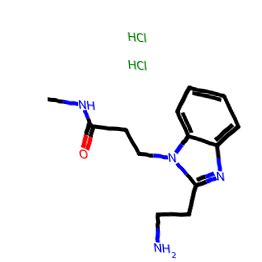 CNC(=O)CCn1c(CCN)nc2ccccc21.Cl.Cl